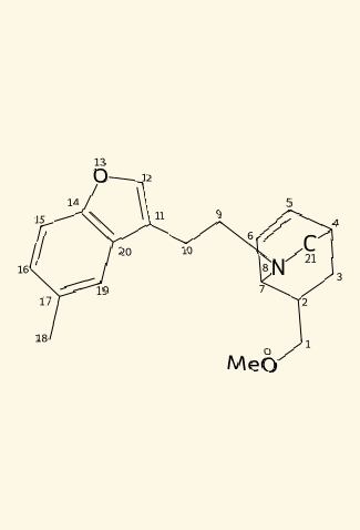 COCC1CC2C=CC1N(CCc1coc3ccc(C)cc13)C2